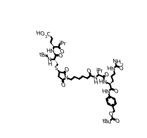 CC(C)C(=O)[C@H](CCC(=O)O)NC(=O)[C@H](CSC1CC(=O)N(CCCCCC(=O)N[C@H](C(=O)N[C@@H](CCCNC(N)=O)C(=O)Nc2ccc(COC(=O)C(C)(C)C)cc2)C(C)C)C1=O)NC(C)(C)C